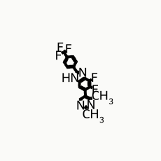 Cc1ncc(-c2cc3[nH]c(-c4ccc(C(F)(F)F)cc4)nc3c(F)c2F)c(C)n1